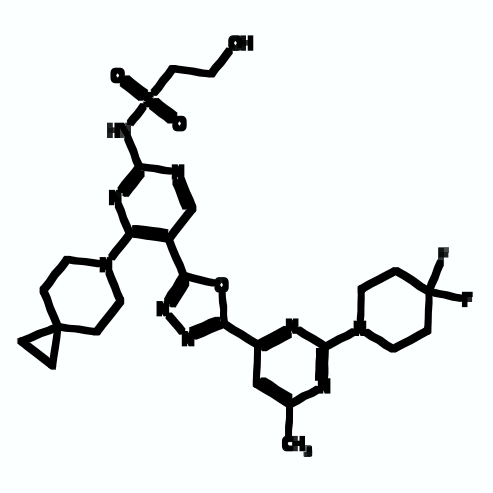 Cc1cc(-c2nnc(-c3cnc(NS(=O)(=O)CCO)nc3N3CCC4(CC3)CC4)o2)nc(N2CCC(F)(F)CC2)n1